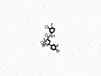 CN1C(C(=O)Nc2ccc(F)c(Cl)c2)=CC(c2ccc(Br)c(F)c2)=NS1(=O)=O